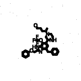 CC(CCC=O)N1CCNC(c2cc(Cc3ccccc3)c3nc(COc4ccccc4)[nH]c3c2OC(F)(F)F)C1